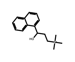 C[N+](C)(C)CCC(O)c1cccc2ccccc12